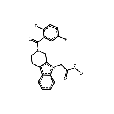 O=C(Cn1c2c(c3ccccc31)CCN(C(=O)c1cc(F)ccc1F)C2)NO